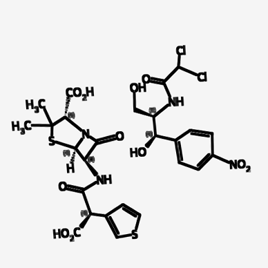 CC1(C)S[C@@H]2[C@H](NC(=O)[C@H](C(=O)O)c3ccsc3)C(=O)N2[C@H]1C(=O)O.O=C(N[C@H](CO)[C@H](O)c1ccc([N+](=O)[O-])cc1)C(Cl)Cl